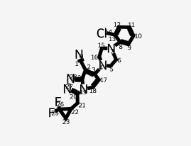 N#Cc1c(N2CCN(c3ccccc3Cl)CC2)ccn2c(CC3CC3(F)F)nnc12